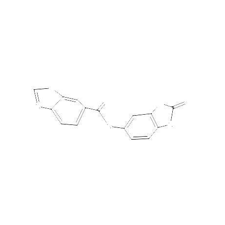 O=C(Nc1ccc2[nH]c(=O)oc2c1)c1ccc2ncsc2c1